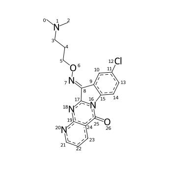 CN(C)CCCON=C1c2cc(Cl)ccc2-n2c1nc1ncccc1c2=O